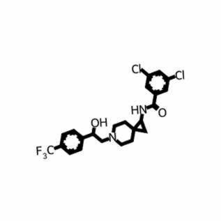 O=C(NC1CC12CCN(CC(O)c1ccc(C(F)(F)F)cc1)CC2)c1cc(Cl)cc(Cl)c1